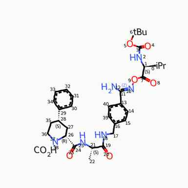 CC(C)[C@H](NC(=O)OC(C)(C)C)C(=O)O/N=C(\N)c1ccc(CNC(=O)[C@H](C)NC(=O)[C@H]2C[C@@H](c3ccccc3)CCN2C(=O)O)cc1